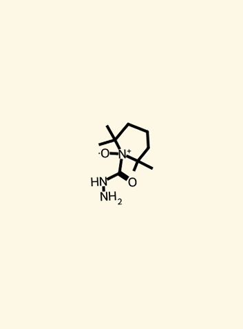 CC1(C)CCCC(C)(C)[N+]1([O])C(=O)NN